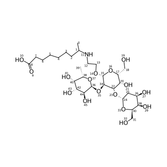 CC(CCCCCCC(=O)O)NCCO[C@@H]1O[C@H](CO)[C@H](O)[C@H](O[C@@H]2C[C@@H](O)[C@@H](O)[C@@H](CO)O2)[C@H]1O[C@@H]1O[C@@H](C)[C@@H](O)[C@@H](O)[C@@H]1O